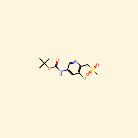 CC(C)(C)OC(=O)Nc1cnc(CS(C)(=O)=O)c(Cl)c1